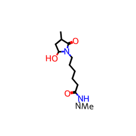 CNNC(=O)CCCCCN1C(=O)C(C)CC1O